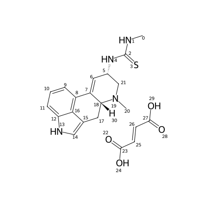 CNC(=S)N[C@H]1C=C2c3cccc4[nH]cc(c34)C[C@H]2N(C)C1.O=C(O)C=CC(=O)O